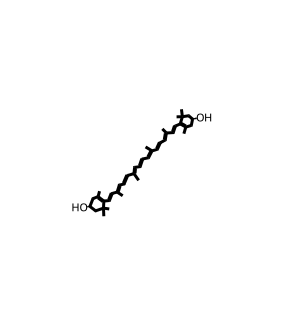 CC1=C(/C=C/C(C)=C/C=C/C(C)=C/C=C/C=C(C)/C=C/C=C(C)/C=C/C2=C(C)C[C@H](O)CC2(C)C)C(C)(C)C[C@H](O)C1